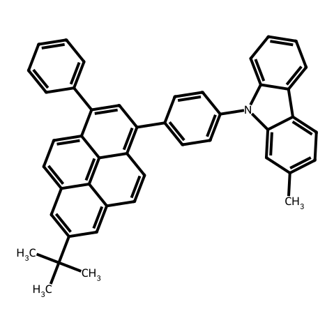 Cc1ccc2c3ccccc3n(-c3ccc(-c4cc(-c5ccccc5)c5ccc6cc(C(C)(C)C)cc7ccc4c5c67)cc3)c2c1